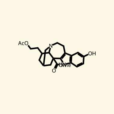 COC(=O)C12CC3CC(CCOC(C)=O)C1N(CCc1c2[nH]c2ccc(O)cc12)C3